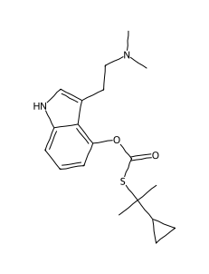 CN(C)CCc1c[nH]c2cccc(OC(=O)SC(C)(C)C3CC3)c12